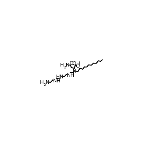 CCCCCCCCCCCCN(CCNCCNCCNCCN)C(CC(N)=O)C(=O)O